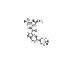 Cn1cc(NC(=O)c2cnn3ccc(N4CCC(F)(F)CC4)nc23)c(C(F)(F)F)n1